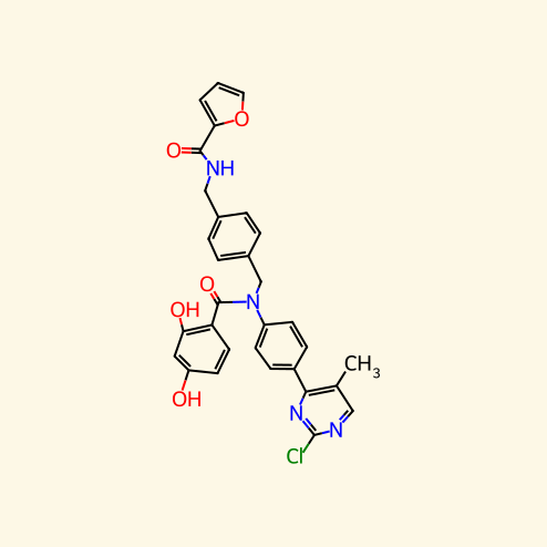 Cc1cnc(Cl)nc1-c1ccc(N(Cc2ccc(CNC(=O)c3ccco3)cc2)C(=O)c2ccc(O)cc2O)cc1